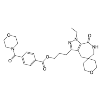 CCn1nc(CCCOC(=O)c2ccc(C(=O)N3CCOCC3)cc2)c2c1C(=O)NCC1(CCOCC1)C2